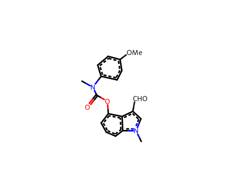 COc1ccc(N(C)C(=O)Oc2cccc3c2c(C=O)cn3C)cc1